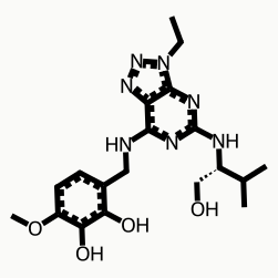 CCn1nnc2c(NCc3ccc(OC)c(O)c3O)nc(N[C@@H](CO)C(C)C)nc21